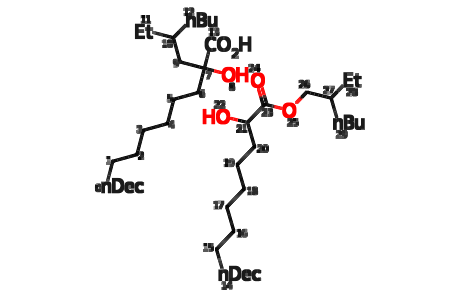 CCCCCCCCCCCCCCCCC(O)(CC(CC)CCCC)C(=O)O.CCCCCCCCCCCCCCCCC(O)C(=O)OCC(CC)CCCC